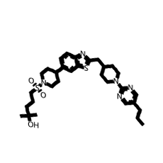 CCCc1cnc(N2CCC(Cc3nc4ccc(C5CCN(S(=O)(=O)CCCC(C)(C)O)CC5)cc4s3)CC2)nc1